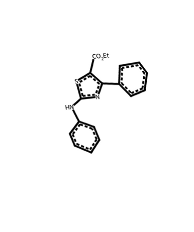 CCOC(=O)c1sc(Nc2ccccc2)nc1-c1ccccc1